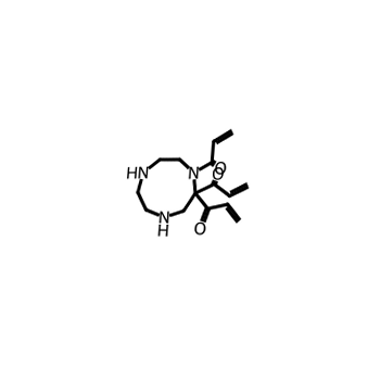 C=CC(=O)N1CCNCCNCC1(C(=O)C=C)C(=O)C=C